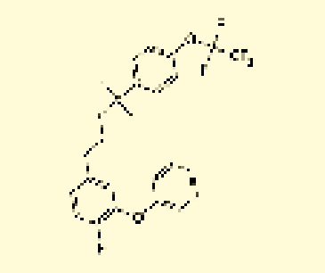 CC(C)(CCCc1ccc(F)c(Oc2ccccc2)c1)c1ccc(OC(F)(F)C(F)(F)F)cc1